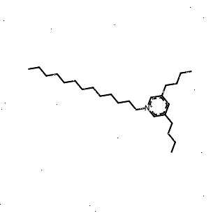 CCCCCCCCCCCCC[n+]1cc(CCCC)cc(CCCC)c1